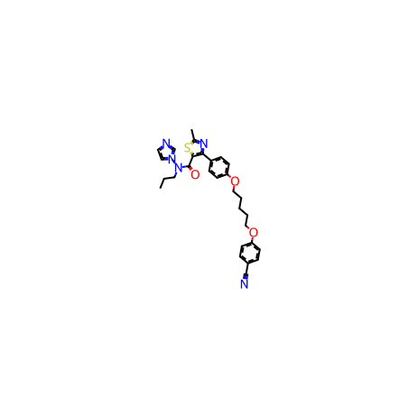 CCCN(C(=O)c1sc(C)nc1-c1ccc(OCCCCCOc2ccc(C#N)cc2)cc1)n1ccnc1